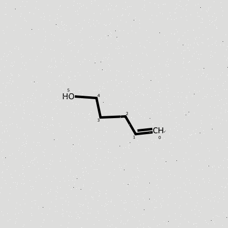 [CH]=CCCCO